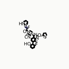 CN1CCC[C@H]1COc1nc(N2CCN(C(=O)/C(F)=C/N3C=CC=CN3)[C@@H](CC#N)C2)c2ccc(-c3c(O)cccc3F)c(F)c2n1